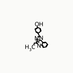 CCc1nc2ccccc2c2nc(-c3ccc(O)cc3)nn12